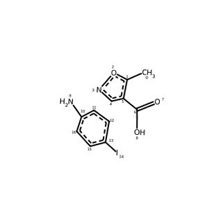 Cc1oncc1C(=O)O.Nc1ccc(I)cc1